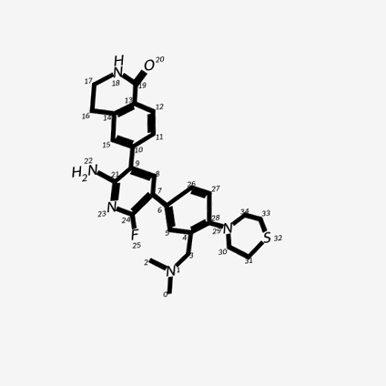 CN(C)Cc1cc(-c2cc(-c3ccc4c(c3)CCNC4=O)c(N)nc2F)ccc1N1CCSCC1